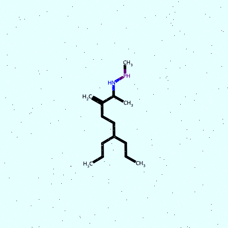 C=C(CCC(CCC)CCC)C(C)NPC